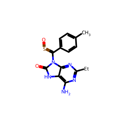 CCc1nc(N)c2[nH]c(=O)n(C(=S=O)c3ccc(C)cc3)c2n1